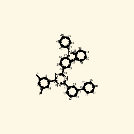 Cc1cc(C)cc(-c2nc(-c3cccc(-c4ccccc4)c3)nc(-c3ccc4c(c3)c3ccccc3n4-c3ccccc3)n2)c1